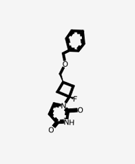 O=c1ccn([C@]2(F)C[C@@H](COCc3ccccc3)C2)c(=O)[nH]1